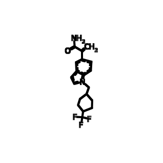 C=C(C(N)=O)c1ccc2c(ccn2CC2CCC(C(F)(F)F)CC2)c1